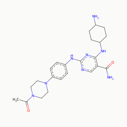 CC(=O)N1CCN(c2ccc(Nc3ncc(C(N)=O)c(NC4CCC(N)CC4)n3)cc2)CC1